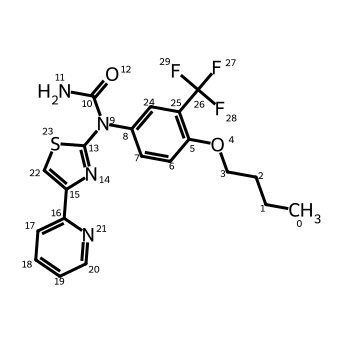 CCCCOc1ccc(N(C(N)=O)c2nc(-c3ccccn3)cs2)cc1C(F)(F)F